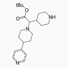 CC(C)(C)OC(=O)C(C1CCNCC1)N1CCC(c2ccncc2)CC1